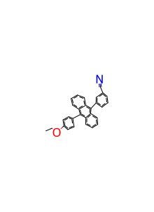 CCOc1ccc(-c2c3ccccc3c(-c3cccc(C#N)c3)c3ccccc23)cc1